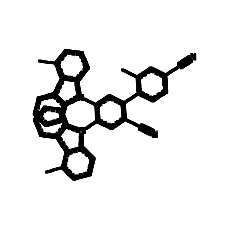 Cc1cc(C#N)ccc1-c1cc(-n2c3ccccc3c3c(C)cccc32)c(-n2c3ccccc3c3c(C)cccc32)cc1C#N